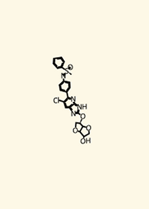 C[S@@](=O)(=Nc1ccc(-c2nc3[nH]c(O[C@@H]4COC5C4OC[C@H]5O)nc3cc2Cl)cc1)c1ccccc1